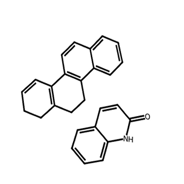 C1=CC2=C(CC1)CCc1c2ccc2ccccc12.O=c1ccc2ccccc2[nH]1